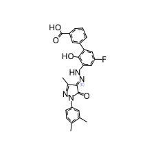 CC1=NN(c2ccc(C)c(C)c2)C(=O)/C1=N/Nc1cc(F)cc(-c2cccc(C(=O)O)c2)c1O